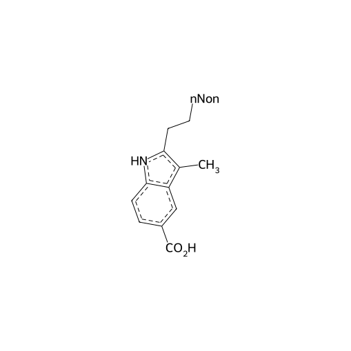 CCCCCCCCCCCc1[nH]c2ccc(C(=O)O)cc2c1C